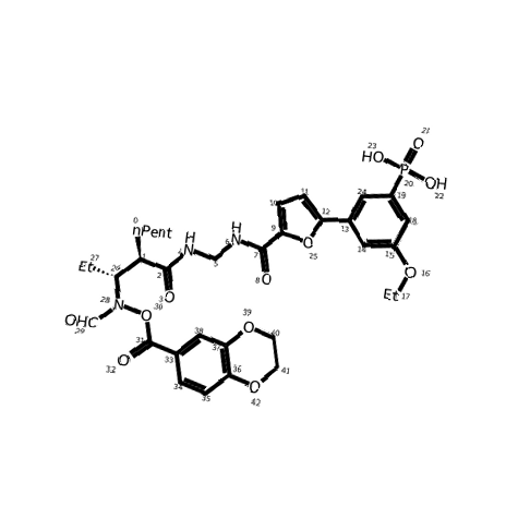 CCCCC[C@@H](C(=O)NCNC(=O)c1ccc(-c2cc(OCC)cc(P(=O)(O)O)c2)o1)[C@@H](CC)N(C=O)OC(=O)c1ccc2c(c1)OCCO2